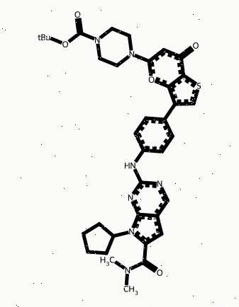 CN(C)C(=O)c1cc2cnc(Nc3ccc(-c4csc5c(=O)cc(N6CCN(C(=O)OC(C)(C)C)CC6)oc45)cc3)nc2n1C1CCCC1